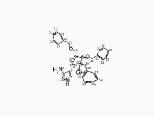 Nc1n[nH]cc1[C@@H]1O[C@H](COCc2ccccc2)[C@@H](OCc2ccccc2)[C@]1(O)Cc1ccccc1